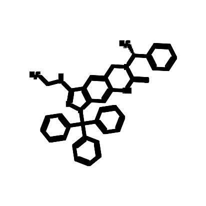 CCNc1nn(C(c2ccccc2)(c2ccccc2)c2ccccc2)c2cc3c(cc12)CN([C@H](C)c1ccccc1)C(=O)N3